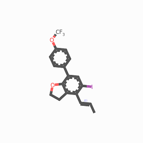 C/C=C/c1c(I)cc(-c2ccc(OC(F)(F)F)cc2)c2c1CCO2